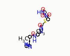 Cc1ccc(C(=O)Nc2ccc(CN3CCN(C(=O)CCCSc4cccc5c4CN(C4CCC(=O)NC4=O)C5=O)CC3)c(C(F)(F)F)c2)cc1C#Cc1cnc2cccnn12